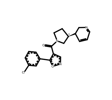 O=C(c1cnoc1-c1cccc(Cl)c1)N1CC[C@@H](C2C=CC=NC2)C1